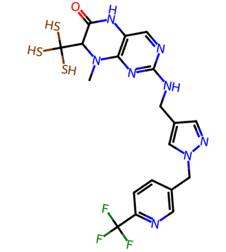 CN1c2nc(NCc3cnn(Cc4ccc(C(F)(F)F)nc4)c3)ncc2NC(=O)C1C(S)(S)S